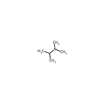 [CH2]C(C)N(C)C